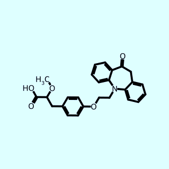 COC(Cc1ccc(OCCN2c3ccccc3CC(=O)c3ccccc32)cc1)C(=O)O